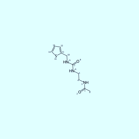 CC(=O)NCCNC(=O)NCc1cccs1